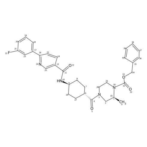 C[C@H]1CN(C(=O)[C@H]2CC[C@H](NC(=O)c3ccc(-c4cccc(F)c4)nc3)CC2)CCN1C(=O)OCc1ccccc1